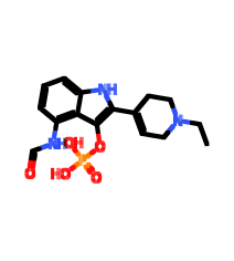 CCN1CC=C(c2[nH]c3cccc(NC=O)c3c2OP(=O)(O)O)CC1